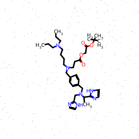 CCCN(CCC)CCCCN(CCC(=O)OCC(=O)OC(C)(C)C)Cc1ccc(CN(Cc2ncc[nH]2)C(C)c2ncc[nH]2)cc1